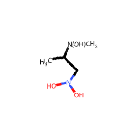 CC(CN(O)O)N(C)O